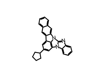 c1ccc2cc3c(cc2c1)c1cc(C2CCCC2)cc2c1n3c1nc3ccccc3n21